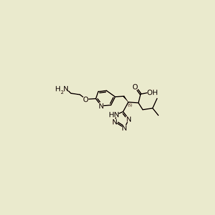 CC(C)CC(C(=O)O)[C@H](Cc1ccc(OCCN)nc1)c1nnn[nH]1